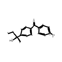 CCC(C)(S)c1ccc(C(=O)c2ccc(Cl)cc2)cc1